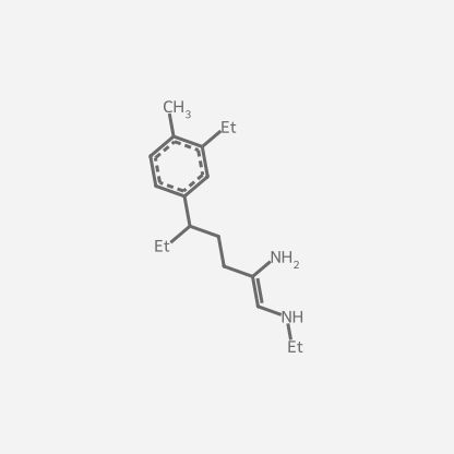 CCN/C=C(\N)CCC(CC)c1ccc(C)c(CC)c1